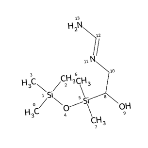 C[Si](C)(C)O[Si](C)(C)C(O)C/N=C/N